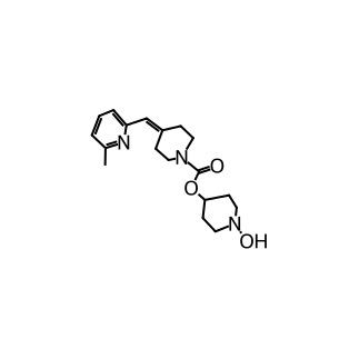 Cc1cccc(C=C2CCN(C(=O)OC3CCN(O)CC3)CC2)n1